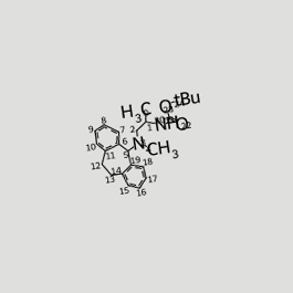 CC(CN(C)C1c2ccccc2CCc2ccccc21)NC(=O)OC(C)(C)C